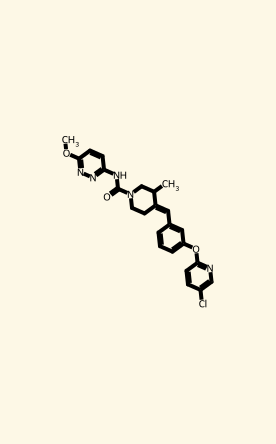 COc1ccc(NC(=O)N2CCC(=Cc3cccc(Oc4ccc(Cl)cn4)c3)C(C)C2)nn1